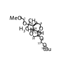 COCOC(C)(C)C1=CCO[C@@H]2[C@@H](OCOC(C)(C)C)CO[C@H]12